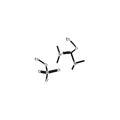 CCOC(N(C)C)=[N+](C)C.CCOS(=O)(=O)[O-]